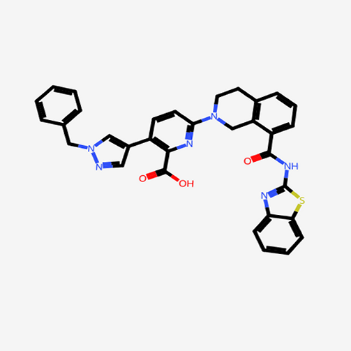 O=C(Nc1nc2ccccc2s1)c1cccc2c1CN(c1ccc(-c3cnn(Cc4ccccc4)c3)c(C(=O)O)n1)CC2